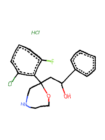 Cl.OC(CC1(c2c(F)cccc2Cl)CNCCO1)c1ccccc1